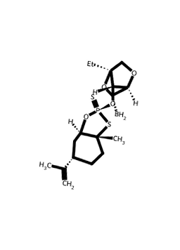 B[C@@H]1O[C@@]2(CC)CO[C@@H]1[C@@H]2O[P@]1(=S)O[C@@H]2C[C@@H](C(=C)C)CC[C@@]2(C)S1